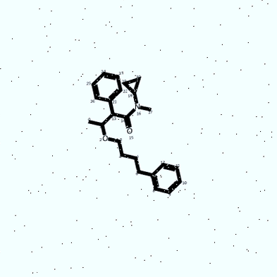 CC(OCCCCc1ccccc1)C(C(=O)N(C)C1CC1)c1ccccc1